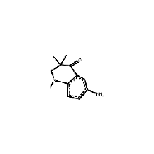 CC1(C)CN(I)c2ccc(N)cc2C1=O